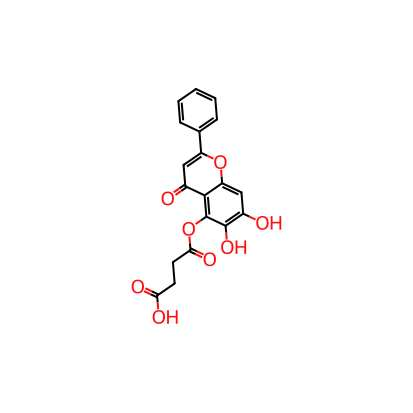 O=C(O)CCC(=O)Oc1c(O)c(O)cc2oc(-c3ccccc3)cc(=O)c12